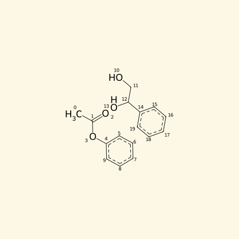 CC(=O)Oc1ccccc1.OCC(O)c1ccccc1